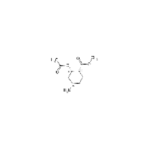 COC(=O)[C@@H]1CC[C@H](N)C[C@@H]1OC(C)=O